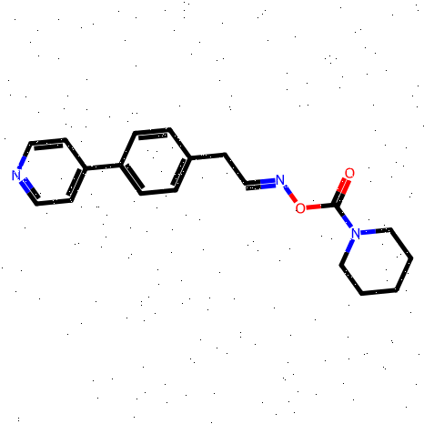 O=C(ON=CCc1ccc(-c2ccncc2)cc1)N1CCCCC1